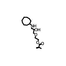 C=C(C)C(=O)OCCOCC(O)CNC1CCCCCCCC1